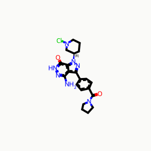 Nc1n[nH]c(=O)c2c1c(-c1ccc(C(=O)N3CCCC3)cc1)nn2[C@@H]1CCCN(Cl)C1